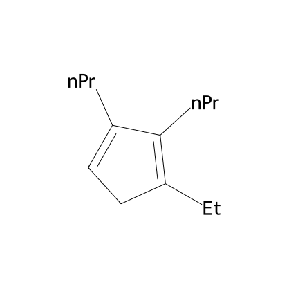 CCCC1=CCC(CC)=C1CCC